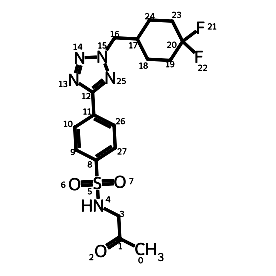 CC(=O)CNS(=O)(=O)c1ccc(-c2nnn(CC3CCC(F)(F)CC3)n2)cc1